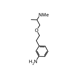 CNC(C)COCCc1cccc(N)c1